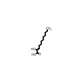 CCCCCCCCC/C=C(\O)C(=O)O